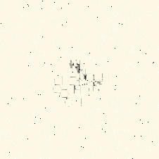 CN1CCC[C@@]1(C)COc1nc(N2CC3CCC(C2)N3)c2cc(Cl)c(-c3cc(O)cc4ccccc34)c(F)c2n1